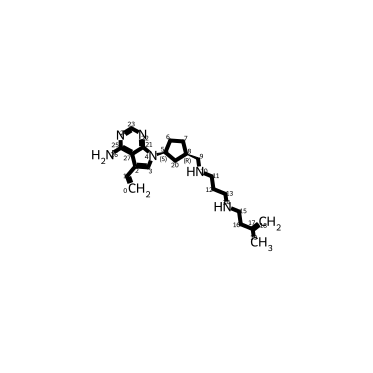 C=Cc1cn([C@H]2CC[C@@H](CNCCCNCCC(=C)C)C2)c2ncnc(N)c12